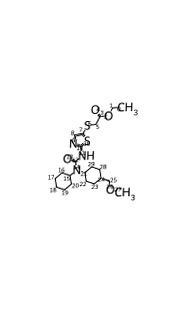 CCOC(=O)CSc1cnc(NC(=O)N(C2CCCCC2)[C@H]2CC[C@H](COC)CC2)s1